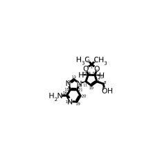 CC1(C)O[C@@H]2[C@H](O1)C(CO)=C[C@H]2n1cnc2c(N)nccc21